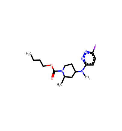 CCCCOC(=O)N1CCC(N(C)c2ccc(I)nn2)CC1C